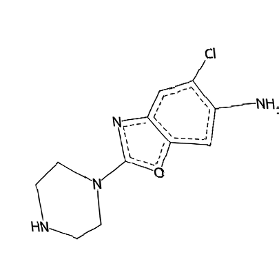 Nc1cc2oc(N3CCNCC3)nc2cc1Cl